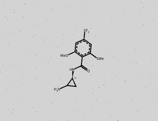 COc1cc(C(F)(F)F)cc(SC)c1C(=O)N[C@H]1CC1N